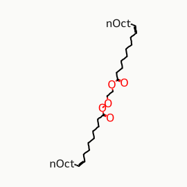 CCCCCCCC/C=C\CCCCCCCC(=O)OCCOOC(=O)CCCCCCC/C=C\CCCCCCCC